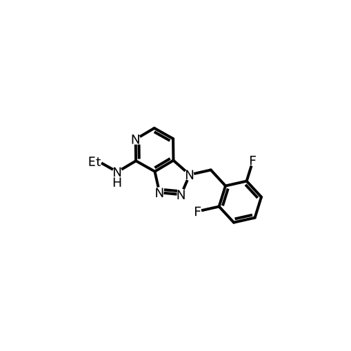 CCNc1nccc2c1nnn2Cc1c(F)cccc1F